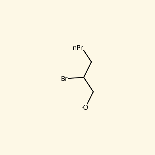 CCCCC(Br)C[O]